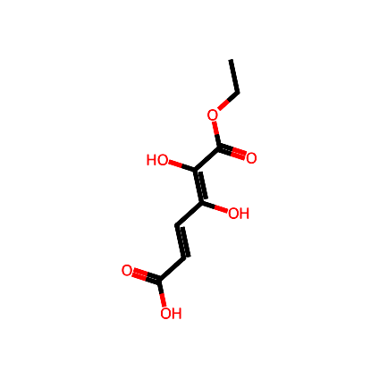 CCOC(=O)C(O)=C(O)C=CC(=O)O